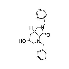 O=C1C2[C@@H](CC(O)CN2Cc2ccccc2)CN1Cc1ccccc1